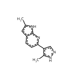 Cc1cc2ccc(-c3cn[nH]c3C)nc2[nH]1